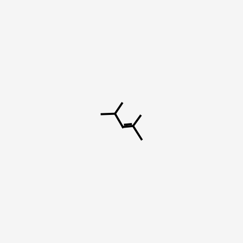 CC(C)=[C]C(C)C